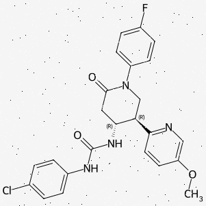 COc1ccc([C@@H]2CN(c3ccc(F)cc3)C(=O)C[C@H]2NC(=O)Nc2ccc(Cl)cc2)nc1